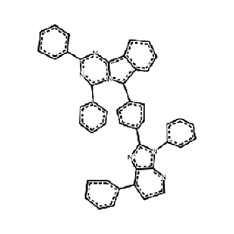 c1ccc(-c2nc(-c3ccccc3)n3c(-c4ccc(-c5nc6c(-c7ccccc7)ccnc6n5-c5ccccc5)cc4)c4ccccc4c3n2)cc1